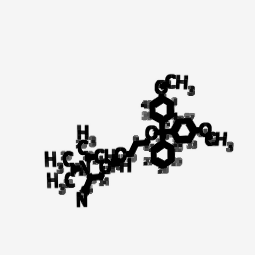 COc1ccc(C(OCCCOPOCC(C#N)N(C(C)C)C(C)C)(c2ccccc2)c2ccc(OC)cc2)cc1